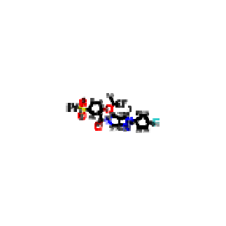 CC(C)S(=O)(=O)c1ccc(O[C@@H](C)C(F)(F)F)c(C(=O)N2Cc3cn(-c4ccc(F)cc4)nc3C2)c1